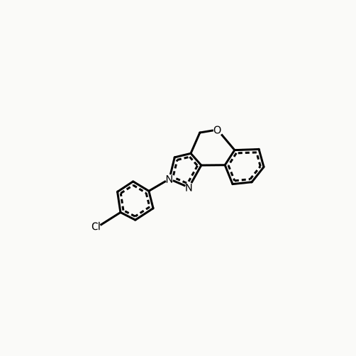 Clc1ccc(-n2cc3c(n2)-c2ccccc2OC3)cc1